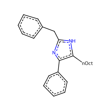 CCCCCCCCc1[nH]c(Cc2ccccc2)nc1-c1ccccc1